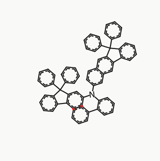 c1ccc(-c2ccccc2N(c2ccc3c(c2)C(c2ccccc2)(c2ccccc2)c2ccccc2-3)c2ccc3cc4c(cc3c2)-c2ccccc2C4(c2ccccc2)c2ccccc2)cc1